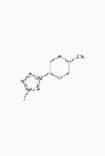 Cc1cn(C2CCC(C#N)CC2)cn1